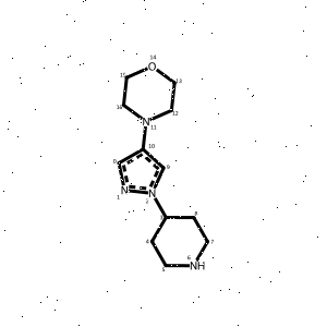 c1nn(C2CCNCC2)cc1N1CCOCC1